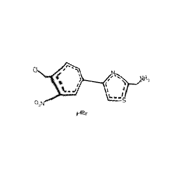 Br.Nc1nc(-c2ccc(Cl)c([N+](=O)[O-])c2)cs1